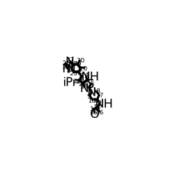 Cc1c(-c2[nH]c3sc(N4CCC(NC5COC5)CC4)nc3c2C(C)C)cn2ncnc2c1C